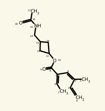 C=C/C(C)=C\C(=C/C)C(=O)OC1CC(CNC(C)=O)C1